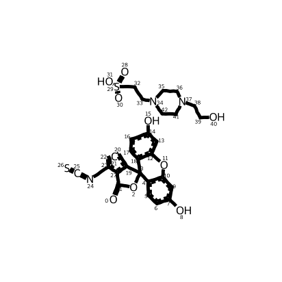 O=C1OC2(c3ccc(O)cc3Oc3cc(O)ccc32)c2cccc(N=C=S)c21.O=S(=O)(O)CCN1CCN(CCO)CC1